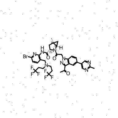 CC(=O)c1nn(CC(=O)N2[C@H](C(=O)Nc3nc(Br)ccc3CN(CCC(F)(F)F)CCC(F)(F)F)C[C@@]3(C)C[C@@H]23)c2ccc(-c3cnc(C)nc3)cc12